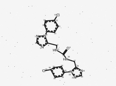 O=C(NCc1ncnn1-c1ccc(Cl)cc1)NCc1ncnn1-c1ccc(Cl)cc1